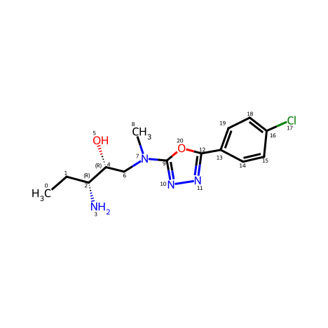 CC[C@@H](N)[C@H](O)CN(C)c1nnc(-c2ccc(Cl)cc2)o1